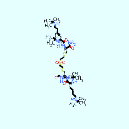 CC(C)(C)NCCCC[C@@H](NC(C)(C)C)C(=O)N[C@@H](CSCCS(=O)(=O)CCSC[C@H](NC(=O)[C@@H](CCCCNC(C)(C)C)NC(C)(C)C)C(N)=O)NC=O